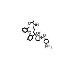 CC(=O)NCCCC(O)(c1ccccc1Oc1ccccc1C)C1CCCN(C(=O)[C@@H]2CC[C@H](N)C2)C1